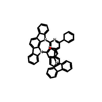 C1=CCC(c2cc(-c3ccccc3)nc(-n3c4ccccc4c4ccc5c6ccccc6n(-c6cccc(-n7c8ccccc8c8ccccc87)c6)c5c43)n2)C=C1